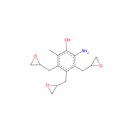 Cc1c(O)c(N)c(CC2CO2)c(CC2CO2)c1CC1CO1